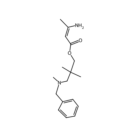 CC(N)=CC(=O)OCC(C)(C)CN(C)Cc1ccccc1